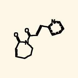 O=C1C=CCCCN1C(=O)/C=C/c1ccccn1